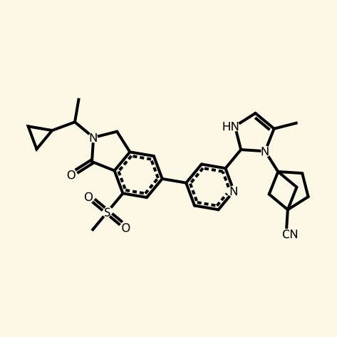 CC1=CNC(c2cc(-c3cc4c(c(S(C)(=O)=O)c3)C(=O)N(C(C)C3CC3)C4)ccn2)N1C12CCC(C#N)(C1)C2